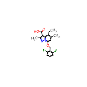 CCc1c(C)cc(OCc2c(F)cccc2F)n2nc(C)c(C(=O)O)c12